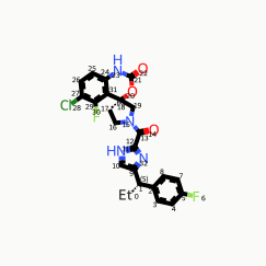 CC[C@@H](c1ccc(F)cc1)c1c[nH]c(C(=O)N2CC[C@@]3(C2)OC(=O)Nc2ccc(Cl)c(F)c23)n1